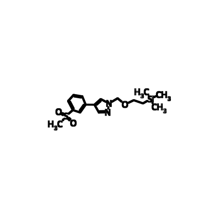 C[Si](C)(C)CCOCn1cc(-c2cccc(S(C)(=O)=O)c2)cn1